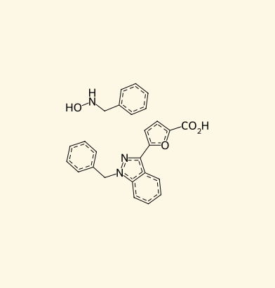 O=C(O)c1ccc(-c2nn(Cc3ccccc3)c3ccccc23)o1.ONCc1ccccc1